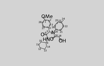 COc1ccc(C(C(=O)NC2CCCCC2)N(C(=O)CO)c2ccc(C)cc2)cc1